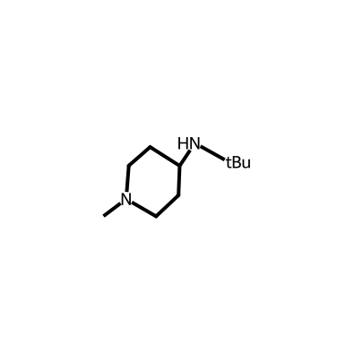 CN1CCC(NC(C)(C)C)CC1